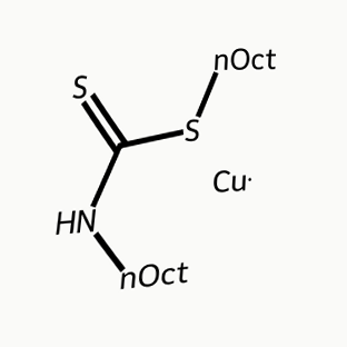 CCCCCCCCNC(=S)SCCCCCCCC.[Cu]